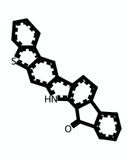 O=C1c2ccccc2-c2ccc3c([nH]c4cc5sc6ccccc6c5cc43)c21